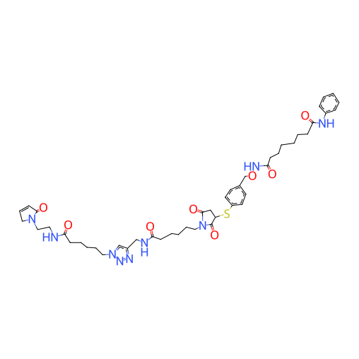 O=C(CCCCCn1cc(CNC(=O)CCCCCN2C(=O)CC(Sc3ccc(CONC(=O)CCCCCCC(=O)Nc4ccccc4)cc3)C2=O)nn1)NCCN1CC=CC1=O